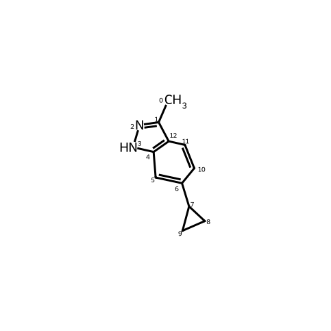 Cc1n[nH]c2cc(C3CC3)ccc12